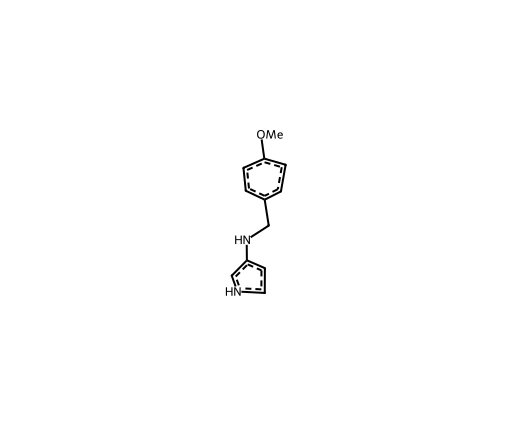 COc1ccc(CNc2cc[nH]c2)cc1